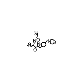 CN(C)C=C(C#N)C(=O)c1cc2ccc(CN3CCOCC3)cc2n1COCC[Si](C)(C)C